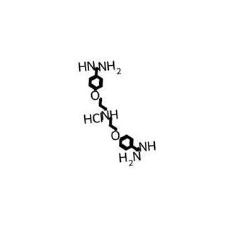 Cl.N=C(N)c1ccc(OCCCNCCCOc2ccc(C(=N)N)cc2)cc1